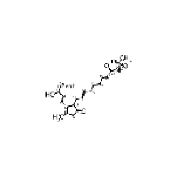 CCCCC[C@H](O)C=C[C@H]1[C@H](C)CC(=O)[C@@H]1CC=CCCCCOC(=O)NS(C)(=O)=O